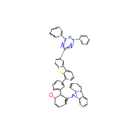 C1=CC2Oc3ccc(-c4cccc5c4sc4ccc(-c6nc(-c7ccccc7)nc(-c7ccccc7)n6)cc45)cc3C2C(N2c3ccccc3C3C=CC=CC32)=C1